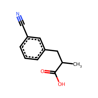 CC(Cc1cccc(C#N)c1)C(=O)O